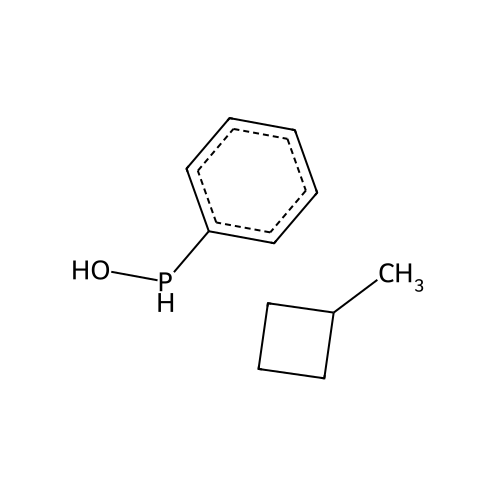 CC1CCC1.OPc1ccccc1